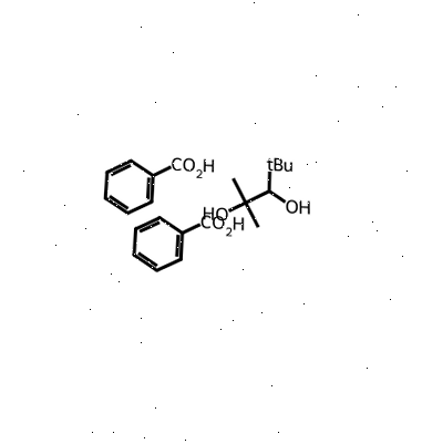 CC(C)(C)C(O)C(C)(C)O.O=C(O)c1ccccc1.O=C(O)c1ccccc1